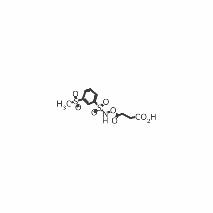 CS(=O)(=O)c1cccc(S(=O)(=O)NOC(=O)CCC(=O)O)c1